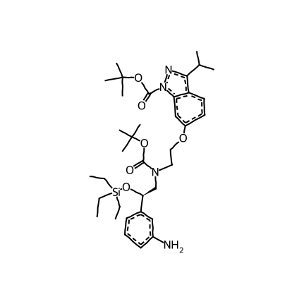 CC[Si](CC)(CC)O[C@@H](CN(CCOc1ccc2c(C(C)C)nn(C(=O)OC(C)(C)C)c2c1)C(=O)OC(C)(C)C)c1cccc(N)c1